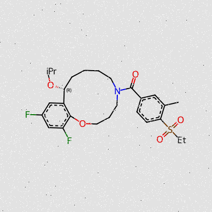 CCS(=O)(=O)c1ccc(C(=O)N2CCCC[C@@H](OC(C)C)c3cc(F)cc(F)c3OCCC2)cc1C